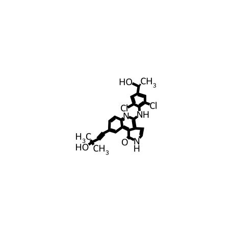 C[C@H](O)c1cc(Cl)c(Nc2nc3ccc(C#CC(C)(C)O)cc3c3c(=O)[nH]ccc23)c(Cl)c1